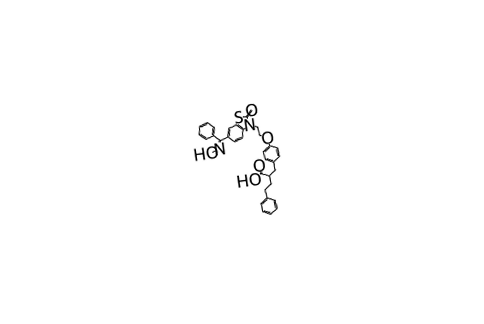 O=C(O)C(CCc1ccccc1)Cc1ccc(OCCn2c(=O)sc3cc(/C(=N/O)c4ccccc4)ccc32)cc1